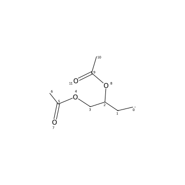 [CH2]CC(COC(C)=O)OC(C)=O